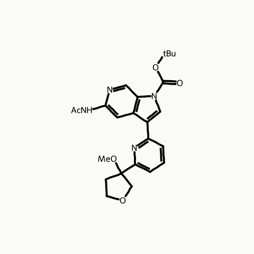 COC1(c2cccc(-c3cn(C(=O)OC(C)(C)C)c4cnc(NC(C)=O)cc34)n2)CCOC1